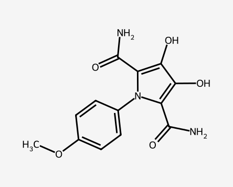 COc1ccc(-n2c(C(N)=O)c(O)c(O)c2C(N)=O)cc1